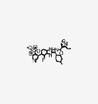 CCc1nocc1C(=O)NC(c1nc2c(F)c(-c3cnccc3S(=O)(=O)S(=O)OC)ccc2[nH]1)C1CCC(C)CC1